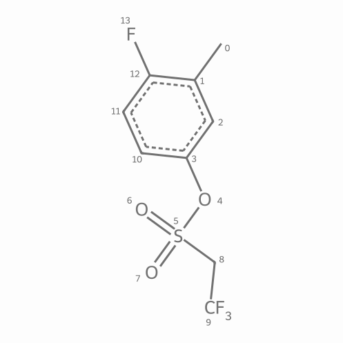 Cc1cc(OS(=O)(=O)CC(F)(F)F)ccc1F